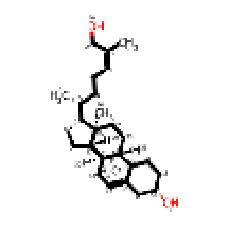 C/C(=C/CC[C@@H](C)[C@H]1CC[C@H]2[C@@H]3CC=C4C[C@@H](O)CC[C@]4(C)[C@H]3CC[C@]12C)CO